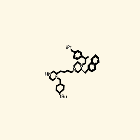 CC(C)Cc1ccc(C(C)CN2CCN(CCCCC3CNCCN3CC3CCC(C(C)(C)C)CC3)C[C@@H]2Cc2ccc3ccccc3c2)cc1